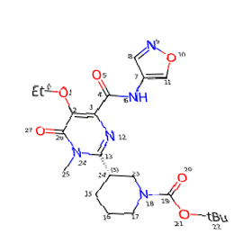 CCOc1c(C(=O)Nc2cnoc2)nc([C@H]2CCCN(C(=O)OC(C)(C)C)C2)n(C)c1=O